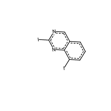 Ic1ncc2cccc(I)c2n1